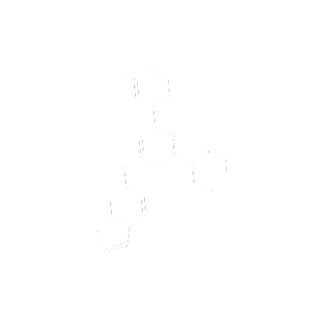 Oc1cccc(-c2cc(Nc3ccc4cn[nH]c4c3)nc(N3CCOCC3)n2)c1